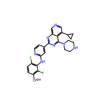 COc1ccc(F)c(Nc2cc(-c3nc(N4CCNCC4)c4c(C5CC5)cncc4n3)ccn2)c1F